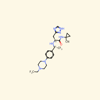 N#CC1(NC(=O)[C@H](Cc2nc[nH]n2)N[C@@H](c2ccc(N3CCN(CC(F)(F)F)CC3)cc2)C(F)(F)F)CC1